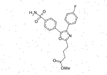 COC(=O)CCCc1nc(-c2ccc(F)cc2)c(-c2ccc(S(N)(=O)=O)cc2)o1